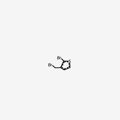 BrCc1ccsc1Br